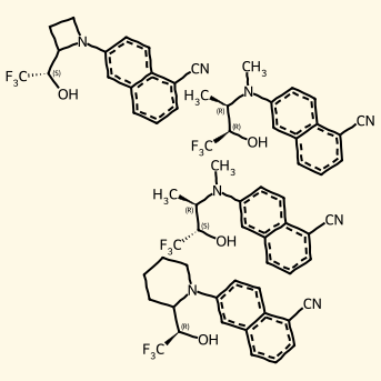 C[C@H]([C@@H](O)C(F)(F)F)N(C)c1ccc2c(C#N)cccc2c1.C[C@H]([C@H](O)C(F)(F)F)N(C)c1ccc2c(C#N)cccc2c1.N#Cc1cccc2cc(N3CCC3[C@H](O)C(F)(F)F)ccc12.N#Cc1cccc2cc(N3CCCCC3[C@@H](O)C(F)(F)F)ccc12